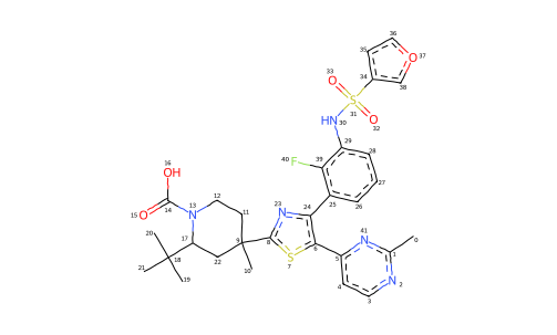 Cc1nccc(-c2sc(C3(C)CCN(C(=O)O)C(C(C)(C)C)C3)nc2-c2cccc(NS(=O)(=O)c3ccoc3)c2F)n1